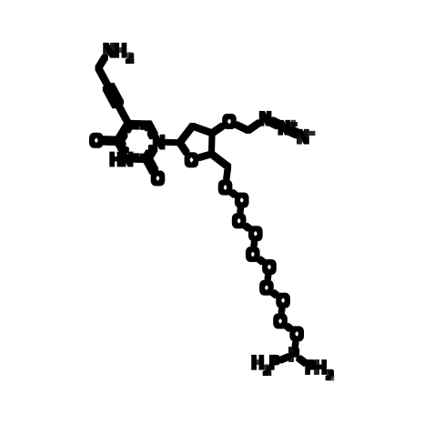 [N-]=[N+]=NCOC1CC(n2cc(C#CCN)c(=O)[nH]c2=O)OC1COOOOOOOOOOP(P)P